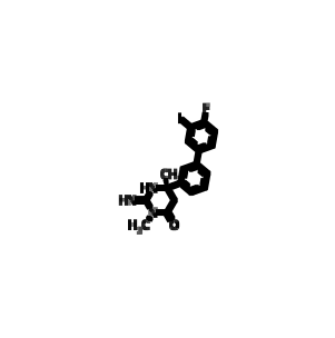 CN1C(=N)N[C@](C)(c2cccc(-c3ccc(F)c(I)c3)c2)CC1=O